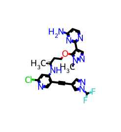 C[C@@H](CCOc1c(-c2nccc(N)n2)cnn1C)Nc1cc(Cl)ncc1C#Cc1cnn(C(F)F)c1